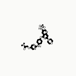 CN(C)C(=O)COc1cnc(NC2CCC(Oc3nc(N4CCOCC4)cc4ncc(NS(C)(=O)=O)cc34)CC2)nc1